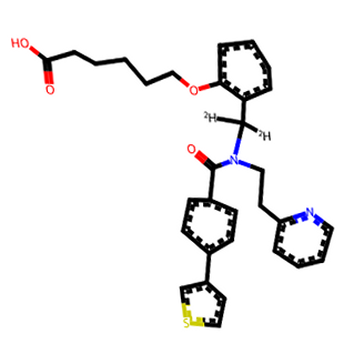 [2H]C([2H])(c1ccccc1OCCCCCC(=O)O)N(CCc1ccccn1)C(=O)c1ccc(-c2ccsc2)cc1